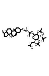 CC(=O)OC[C@H]1OC(OC(=O)NCO[C@H]2CCC3(C)C(=CCC4C3CC[C@]3(C)C(I)=CC[C@@H]43)C2)[C@H](OC(C)=O)[C@@H](OC(C)=O)[C@@H]1OC(C)=O